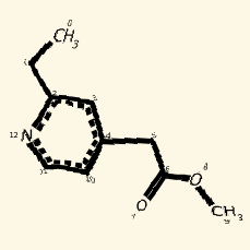 CCc1cc(CC(=O)OC)ccn1